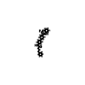 O=C(CCCc1ccccc1)Nc1ccc(N2CCN(C(=O)Nc3ccccc3C(F)(F)F)CC2)cc1